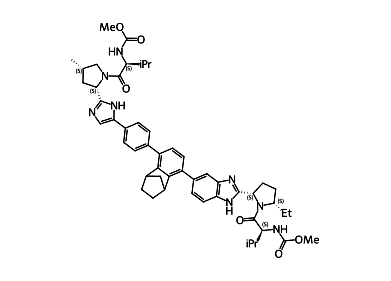 CC[C@H]1CC[C@@H](c2nc3cc(-c4ccc(-c5ccc(-c6cnc([C@@H]7C[C@H](C)CN7C(=O)[C@@H](NC(=O)OC)C(C)C)[nH]6)cc5)c5c4C4CCC5C4)ccc3[nH]2)N1C(=O)[C@@H](NC(=O)OC)C(C)C